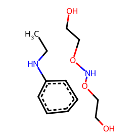 CCNc1ccccc1.OCCONOCCO